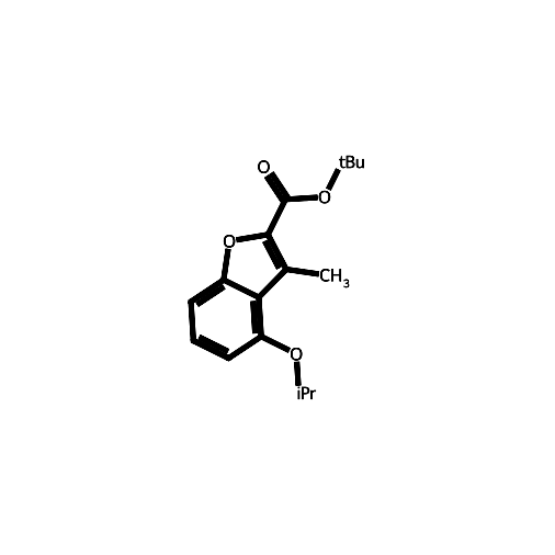 Cc1c(C(=O)OC(C)(C)C)oc2cccc(OC(C)C)c12